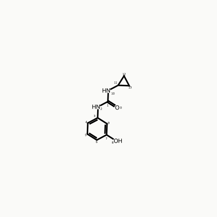 O=C(Nc1cccc(O)c1)NC1CC1